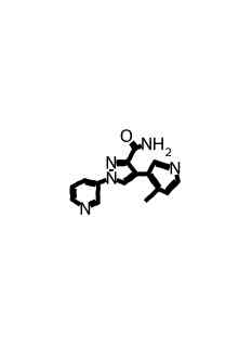 Cc1ccncc1-c1cn(-c2cccnc2)nc1C(N)=O